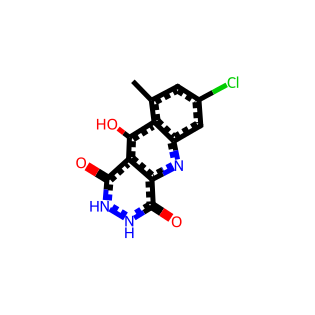 Cc1cc(Cl)cc2nc3c(=O)[nH][nH]c(=O)c3c(O)c12